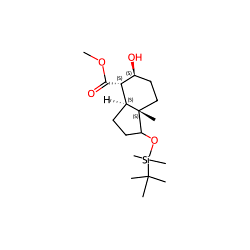 COC(=O)[C@@H]1[C@@H](O)CC[C@]2(C)C(O[Si](C)(C)C(C)(C)C)CC[C@@H]12